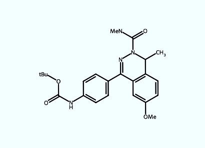 CNC(=O)N1N=C(c2ccc(NC(=O)OC(C)(C)C)cc2)c2cc(OC)ccc2C1C